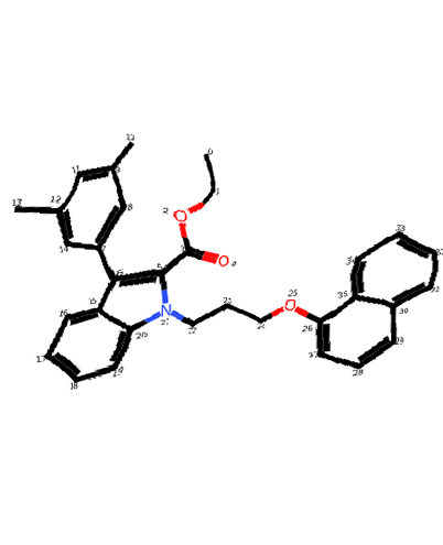 CCOC(=O)c1c(-c2cc(C)cc(C)c2)c2ccccc2n1CCCOc1cccc2ccccc12